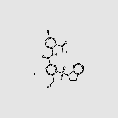 Cl.NCc1ccc(C(=O)Nc2ccc(Br)cc2C(=O)O)cc1S(=O)(=O)N1CCc2ccccc21